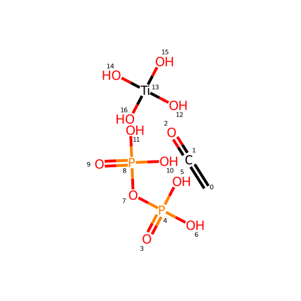 C=C=O.O=P(O)(O)OP(=O)(O)O.[OH][Ti]([OH])([OH])[OH]